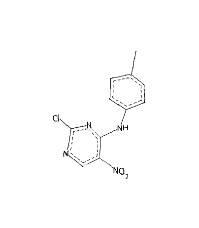 Cc1ccc(Nc2nc(Cl)ncc2[N+](=O)[O-])cc1